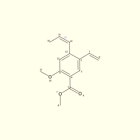 C=Cc1cc(C(=O)OC)c(OC)cc1/C=C\C